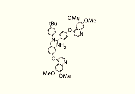 COc1cc2nccc(Oc3ccc(CN(c4ccc(C(C)(C)C)cc4)C(N)c4ccc(Oc5ccnc6cc(OC)c(OC)cc56)cc4)cc3)c2cc1OC